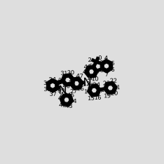 CC1(C)c2ccccc2-c2cc(N(c3cccc(-c4ccccc4)c3)c3ccc4c(ccc5c6ccccc6n(-c6ccccc6)c45)c3)ccc21